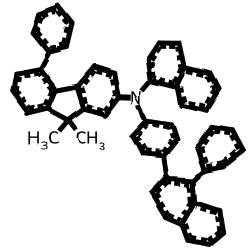 CC1(C)c2cc(N(c3ccc(-c4ccc5ccccc5c4-c4ccccc4)cc3)c3cccc4ccccc34)ccc2-c2c(-c3ccccc3)cccc21